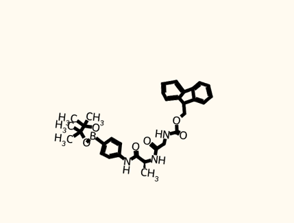 C[C@H](NC(=O)CNC(=O)OCC1c2ccccc2-c2ccccc21)C(=O)Nc1ccc(B2OC(C)(C)C(C)(C)O2)cc1